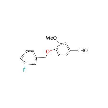 COc1cc(C=O)ccc1OCc1cccc(F)c1